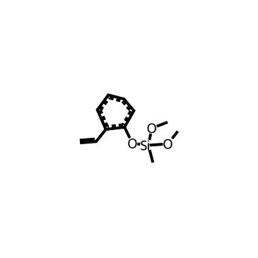 C=Cc1ccccc1O[Si](C)(OC)OC